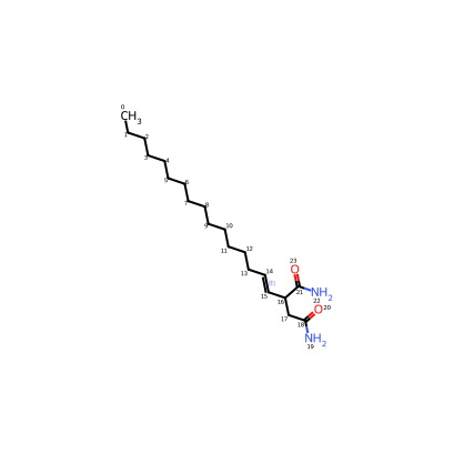 CCCCCCCCCCCCCC/C=C/C(CC(N)=O)C(N)=O